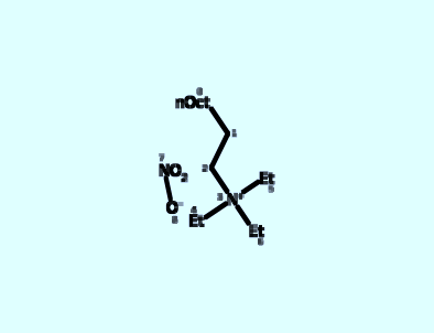 CCCCCCCCCC[N+](CC)(CC)CC.O=[N+]([O-])[O-]